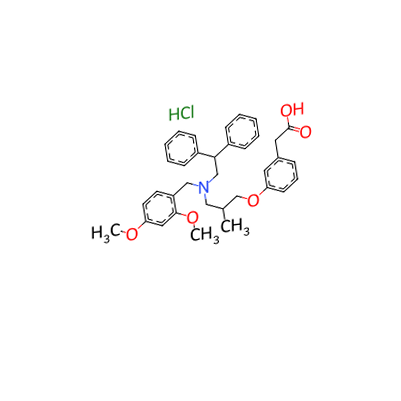 COc1ccc(CN(CC(C)COc2cccc(CC(=O)O)c2)CC(c2ccccc2)c2ccccc2)c(OC)c1.Cl